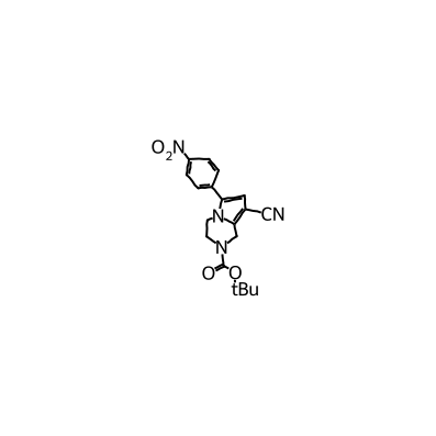 CC(C)(C)OC(=O)N1CCn2c(-c3ccc([N+](=O)[O-])cc3)cc(C#N)c2C1